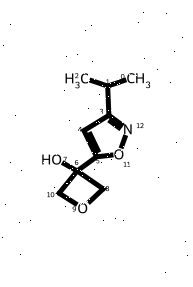 CC(C)c1cc(C2(O)COC2)on1